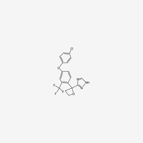 FC(F)(F)c1cc(Oc2ccc(Cl)cc2)ccc1C1(c2nc[nH]n2)CCO1